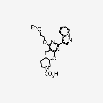 CCOCCOc1nc(-c2cnn3ccccc23)nc(O[C@@H]2CCCN(C(=O)O)C2)c1F